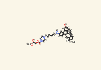 CC(=O)O[C@]1(C(C)=O)CC[C@H]2[C@@H]3CCC4=CC(=O)CCC4=C3[C@@H](c3ccc(N(C)CCCCCCN4CCN(C(=O)OCC(=O)OC(C)(C)C)CC4)cc3)C[C@@]21C